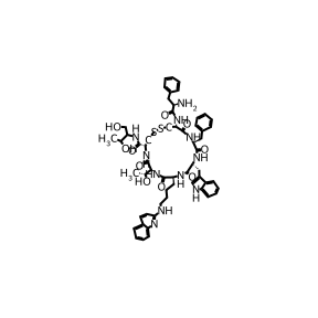 CC(O)C(CO)NC(=O)[C@@H]1CSSC[C@H](NC(=O)[C@H](N)Cc2ccccc2)C(=O)N[C@@H](Cc2ccccc2)C(=O)N[C@H](Cc2c[nH]c3ccccc23)C(=O)N[C@@H](CCCCNc2ccc3ccccc3n2)C(=O)N[C@@H]([C@@H](C)O)C(=O)N1